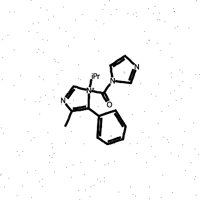 CC1=C(c2ccccc2)[N+](C(=O)n2ccnc2)(C(C)C)C=N1